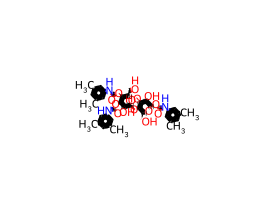 Cc1cc(C)cc(NC(=O)O[C@@H]2O[C@H](CO)[C@@H](O[C@@H]3O[C@H](CO)[C@@H](OC(=O)Nc4cc(C)cc(C)c4)[C@H](OC(=O)Nc4cc(C)cc(C)c4)[C@H]3O)[C@H](O)[C@H]2O)c1